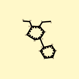 CCc1[c]c(-c2ccccc2)ccc1CC